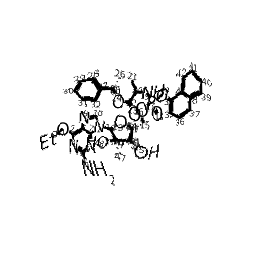 CCOc1nc(N)nc2c1ncn2C1O[C@H](COP(=O)(NC(C)C(=O)O[C@@H](C)c2ccccc2)Oc2cccc3ccccc23)[C@@H](O)[C@@]1(C)O